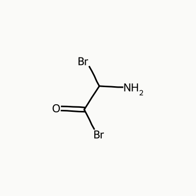 NC(Br)C(=O)Br